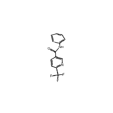 O=C(Nc1ccccc1)c1ccc(C(F)(F)F)nc1